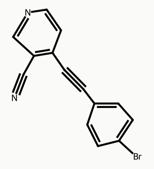 N#Cc1cnccc1C#Cc1ccc(Br)cc1